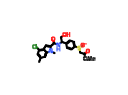 COC(=O)C[S@+]([O-])c1ccc(C(CO)NC(=O)c2cc3c(Cl)cc(C)cc3n2C)cc1